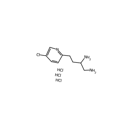 Cl.Cl.Cl.NCC(N)CCc1ccc(Cl)cn1